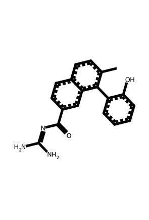 Cc1ccc2ccc(C(=O)N=C(N)N)cc2c1-c1ccccc1O